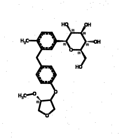 CO[C@H]1COCC1Oc1ccc(Cc2cc([C@@H]3O[C@H](CO)[C@@H](O)[C@H](O)[C@H]3O)ccc2C)cc1